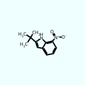 CC(C)(C)c1cc2cccc([N+](=O)[O-])c2[nH]1